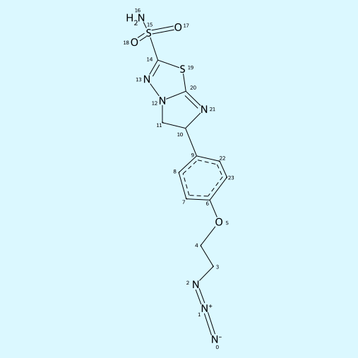 [N-]=[N+]=NCCOc1ccc(C2CN3N=C(S(N)(=O)=O)SC3=N2)cc1